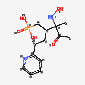 CC(=O)C(C)(NO)C(CCc1ccccn1)CP(=O)(O)O